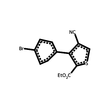 CCOC(=O)c1scc(C#N)c1-c1ccc(Br)cc1